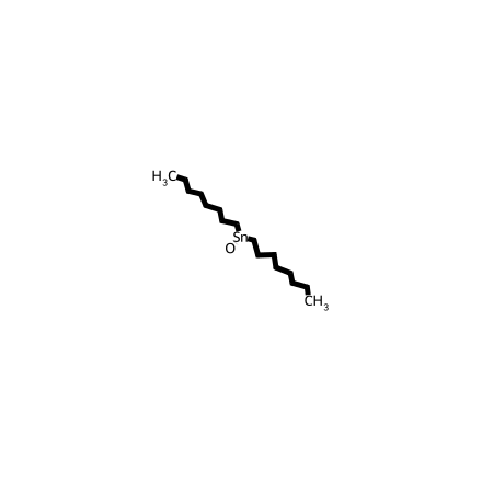 CCCCCCC[CH2][Sn](=[O])[CH2]CCCCCCC